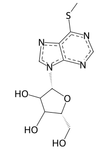 CSc1ncnc2c1ncn2[C@@H]1O[C@H](CO)C(O)C1O